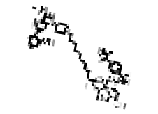 Cc1ncsc1-c1ccc(C(C)NC(=O)[C@@H]2C[C@@H](O)CN2C(=O)C(NC(=O)CCCCCCCCCCN2CCC(n3nc(N)c4nnc(-c5ccccc5O)cc43)CC2)C(C)(C)C)cc1